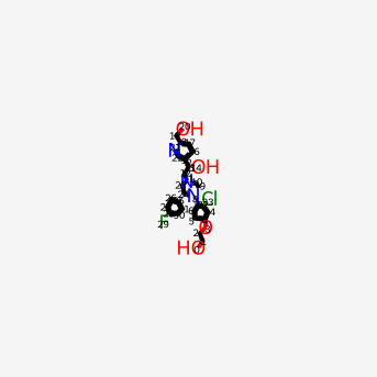 OCCOc1ccc(N2CCN(C[C@@H](O)c3ccc(CO)nc3)C[C@H]2c2ccc(F)cc2)c(Cl)c1